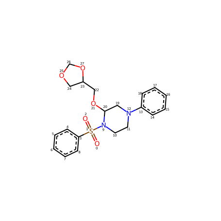 O=S(=O)(c1ccccc1)N1CCN(c2ccccc2)CC1OCC1COCO1